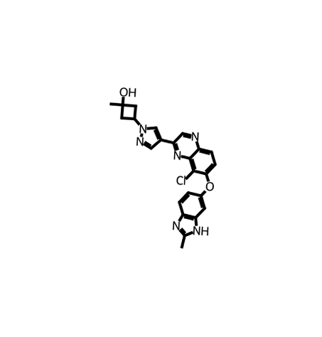 Cc1nc2ccc(Oc3ccc4ncc(-c5cnn(C6CC(C)(O)C6)c5)nc4c3Cl)cc2[nH]1